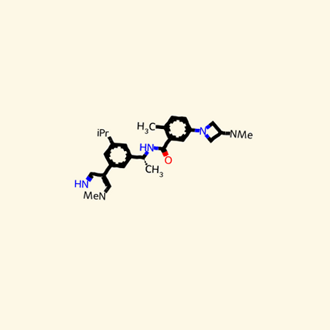 CN/C=C(\C=N)c1cc(C(C)C)cc([C@@H](C)NC(=O)c2cc(N3CC(NC)C3)ccc2C)c1